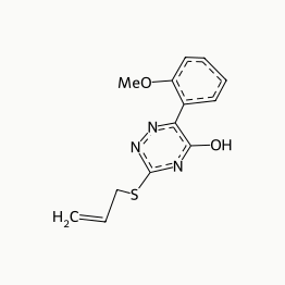 C=CCSc1nnc(-c2ccccc2OC)c(O)n1